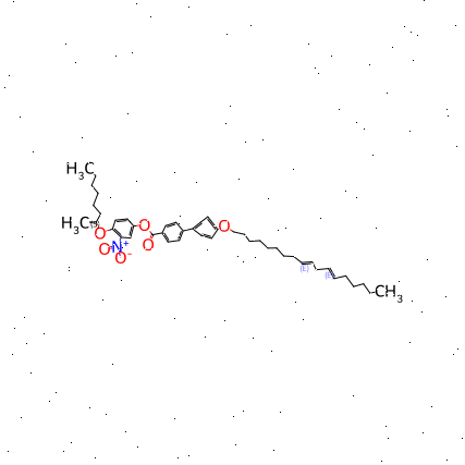 CCCCC/C=C/C/C=C/CCCCCCCCOc1ccc(-c2ccc(C(=O)Oc3ccc(O[C@@H](C)CCCCCC)c([N+](=O)[O-])c3)cc2)cc1